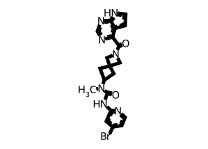 CN(C(=O)Nc1cc(Br)ccn1)C1CC2(C1)CN(C(=O)c1ncnc3[nH]ccc13)C2